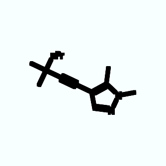 CCCC(C)(C)C#Cc1cnn(C)c1C